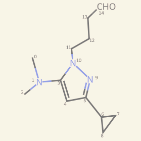 CN(C)c1cc(C2CC2)nn1CCCC=O